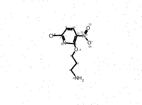 NCCCOc1nc(Cl)ccc1[N+](=O)[O-]